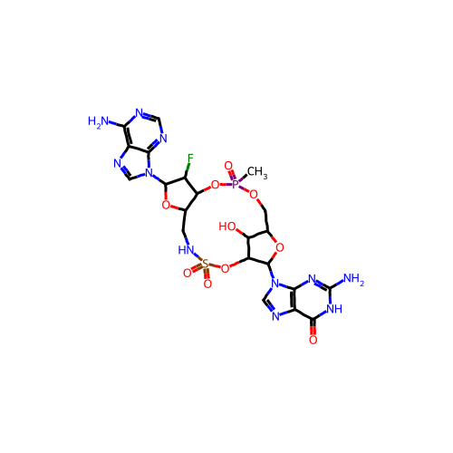 CP1(=O)OCC2OC(n3cnc4c(=O)[nH]c(N)nc43)C(OS(=O)(=O)NCC3OC(n4cnc5c(N)ncnc54)C(F)C3O1)C2O